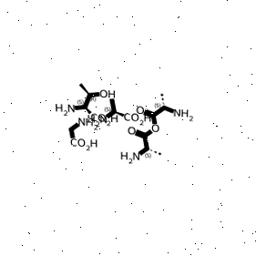 C[C@@H](O)[C@H](N)C(=O)O.C[C@H](N)C(=O)O.C[C@H](N)C(=O)OC(=O)[C@H](C)N.NCC(=O)O